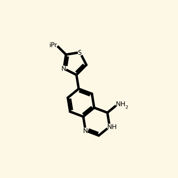 CC(C)c1nc(-c2ccc3c(c2)C(N)NC=N3)cs1